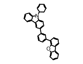 C1=CCC(n2c3ccccc3c3cc(-c4cccc(-c5cccc6c5oc5ccccc56)c4)ccc32)C=C1